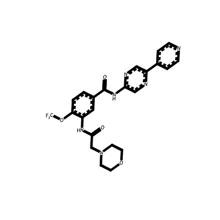 O=C(CN1CCOCC1)Nc1cc(C(=O)Nc2cnc(-c3ccncc3)cn2)ccc1OC(F)(F)F